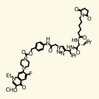 CCn1cc(C=O)c(=O)c2cc(F)c(N3CCN(C(=O)OCc4ccc(NC(=O)Cn5cc(C(NC(=O)[C@@H](CC(C)C)NC(=O)CCCCCN6C(=O)CCC6=O)C(C)C)nn5)cc4)CC3)cc21